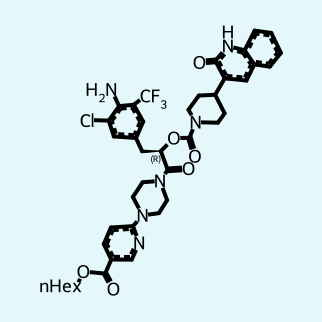 CCCCCCOC(=O)c1ccc(N2CCN(C(=O)[C@@H](Cc3cc(Cl)c(N)c(C(F)(F)F)c3)OC(=O)N3CCC(c4cc5ccccc5[nH]c4=O)CC3)CC2)nc1